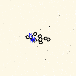 c1ccc(-c2nc3ccccc3c3nc4ccc(-c5c6ccccc6c(-c6ccc7ccccc7c6)c6ccccc56)cn4c23)cc1